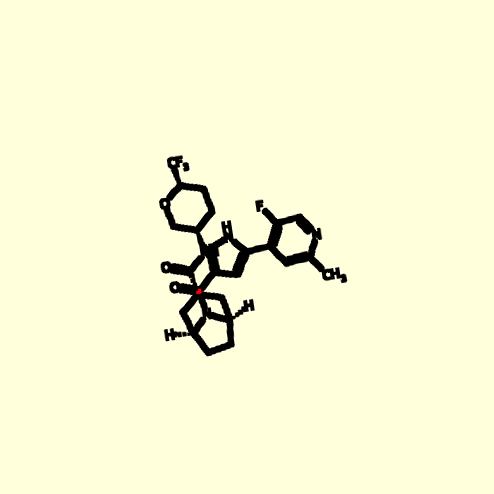 Cc1cc(-c2cc(C(=O)N3[C@@H]4CC[C@H]3C[C@H](C(=O)N[C@@H]3CC[C@H](C(F)(F)F)OC3)C4)n[nH]2)c(F)cn1